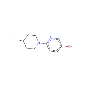 FC1CCN(c2ccc(Br)cn2)CC1